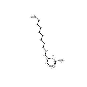 CCCCCCCCCCCCCCCCCCOCC(CO)OC(=O)OCC(C)C